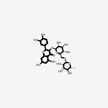 C[C@H]1O[C@H](OC[C@H]2O[C@@H](Oc3c(-c4ccc(O)c(O)c4)oc4cc(O)cc(O)c4c3=O)[C@H](O)[C@@H](O)[C@@H]2O)[C@@H](O)[C@@H](O)[C@@H]1O